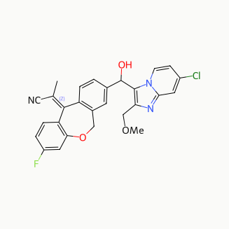 COCc1nc2cc(Cl)ccn2c1C(O)c1ccc2c(c1)COc1cc(F)ccc1/C2=C(/C)C#N